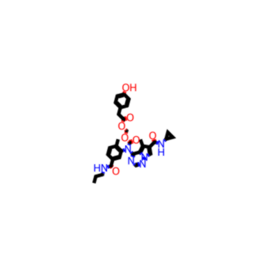 CCCNC(=O)c1ccc(C)c(N(C(=O)OCOC(=O)Cc2ccc(O)cc2)c2ncnn3cc(C(=O)NC4CC4)c(C)c23)c1